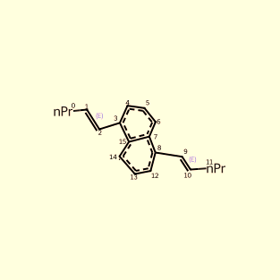 CCC/C=C/c1cccc2c(/C=C/CCC)cc[c]c12